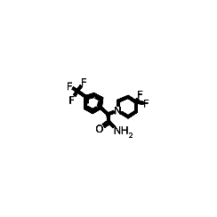 NC(=O)C(c1ccc(C(F)(F)F)cc1)N1CCC(F)(F)CC1